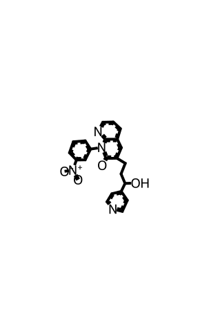 O=c1c(CCC(O)c2ccncc2)cc2cccnc2n1-c1cccc([N+](=O)[O-])c1